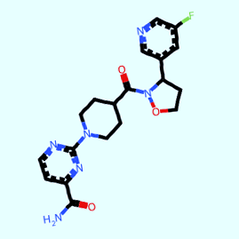 NC(=O)c1ccnc(N2CCC(C(=O)N3OCCC3c3cncc(F)c3)CC2)n1